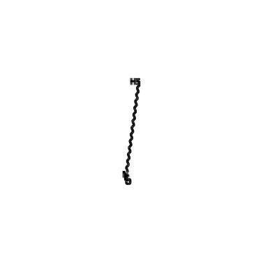 O=C=NCCCCCCCCCCCCCCCCCCCCCCCCCCCS